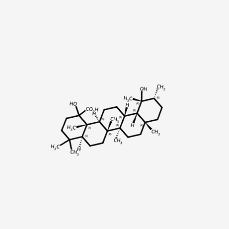 C[C@@H]1CC[C@]2(C)CC[C@]3(C)[C@H](CC[C@@H]4[C@]5(C)[C@@H](CC[C@]43C)C(C)(C)CCC5(O)C(=O)O)[C@@H]2[C@]1(C)O